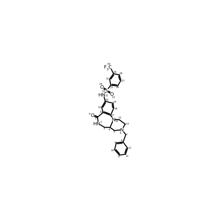 O=C1NCC2CN(Cc3ccccc3)CCN2c2ccc(NS(=O)(=O)c3cccc(C(F)(F)F)c3)cc21